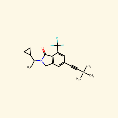 CC(C1CC1)N1Cc2cc(C#C[Si](C)(C)C)cc(C(F)(F)F)c2C1=O